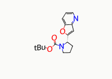 CC(C)(C)OC(=O)N1CCC[C@H]1c1cc2ncccc2o1